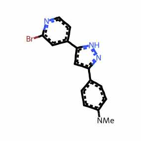 CNc1ccc(-c2cc(-c3ccnc(Br)c3)[nH]n2)cc1